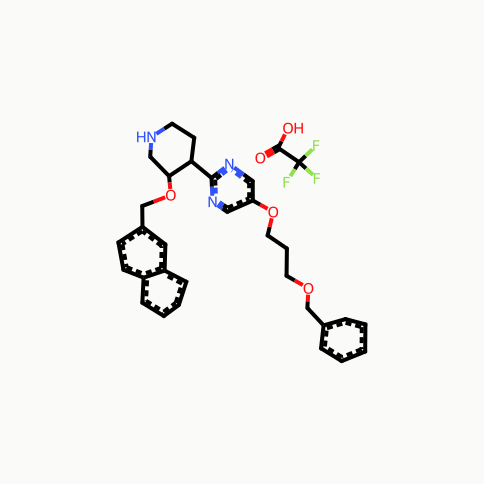 O=C(O)C(F)(F)F.c1ccc(COCCCOc2cnc(C3CCNCC3OCc3ccc4ccccc4c3)nc2)cc1